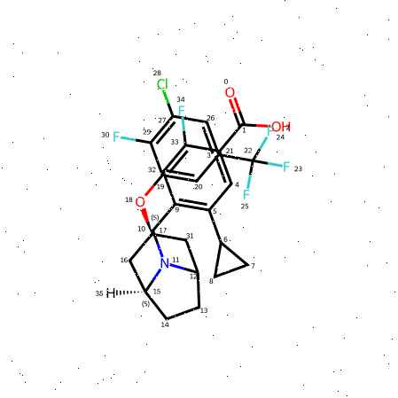 O=C(O)c1cc(C2CC2)c(CN2C3CC[C@H]2C[C@@H](Oc2cc(C(F)(F)F)cc(Cl)c2F)C3)cc1F